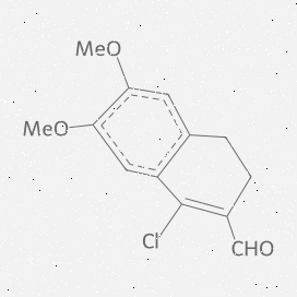 COc1cc2c(cc1OC)C(Cl)=C(C=O)CC2